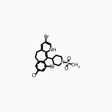 CS(=O)(=O)N1CCC(C2=C3NC=C(Br)C=C3CCc3cc(Cl)cc(Br)c32)CC1